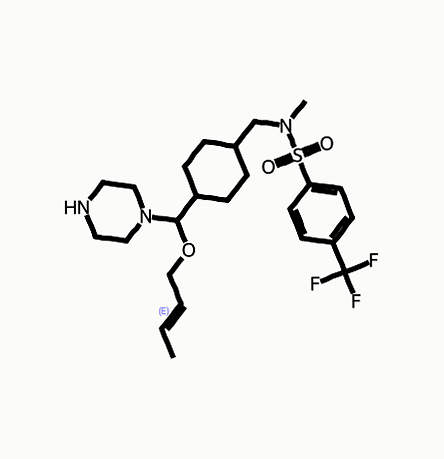 C/C=C/COC(C1CCC(CN(C)S(=O)(=O)c2ccc(C(F)(F)F)cc2)CC1)N1CCNCC1